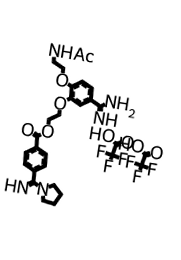 CC(=O)NCCOc1ccc(C(=N)N)cc1OCCOC(=O)c1ccc(C(=N)N2CCCC2)cc1.O=C(O)C(F)(F)F.O=C(O)C(F)(F)F